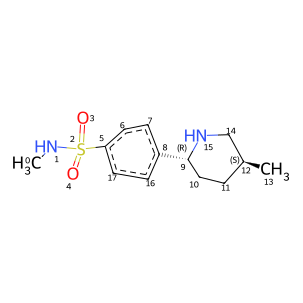 CNS(=O)(=O)c1ccc([C@H]2CC[C@H](C)CN2)cc1